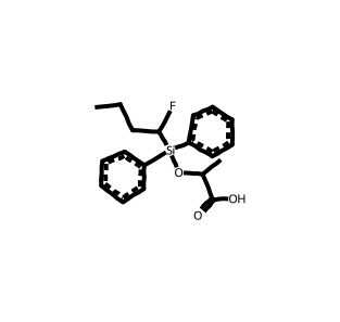 CCCC(F)[Si](OC(C)C(=O)O)(c1ccccc1)c1ccccc1